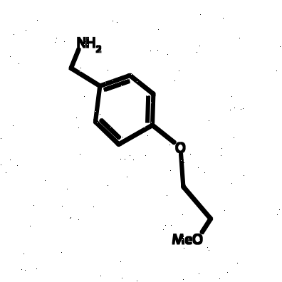 COCCOc1ccc(CN)cc1